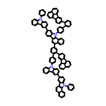 c1ccc(-n2c3ccccc3c3cc(-c4ccc5c6cc(-c7ccc(-c8ccc(-n9c%10ccccc%10c%10cc(-c%11ccc%12c(c%11)c%11ccc%13ccccc%13c%11n%12-c%11ccccc%11)ccc%109)cc8)c(-c8ccc9c(c8)-c8cccc%10cccc-9c8%10)c7)c7ccccc7c6n(-c6ccc(-c7ccccc7-c7ccc8c(c7)-c7cccc9cccc-8c79)cc6)c5c4)ccc32)cc1